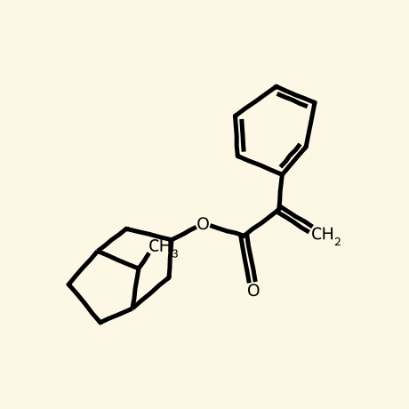 C=C(C(=O)OC1CC2CCC(C1)C2C)c1ccccc1